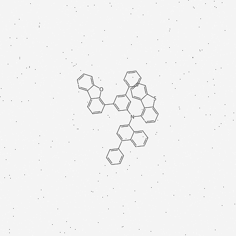 c1ccc(-c2cc(-c3cccc4c3oc3ccccc34)cc(N(c3ccc(-c4ccccc4)c4ccccc34)c3cccc4sc5ccccc5c34)c2)cc1